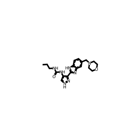 CCCNC(=O)Nc1c[nH]nc1-c1nc2cc(CN3CCOCC3)ccc2[nH]1